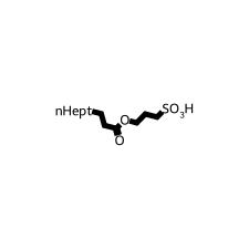 CCCCCCCCCC(=O)OCCCS(=O)(=O)O